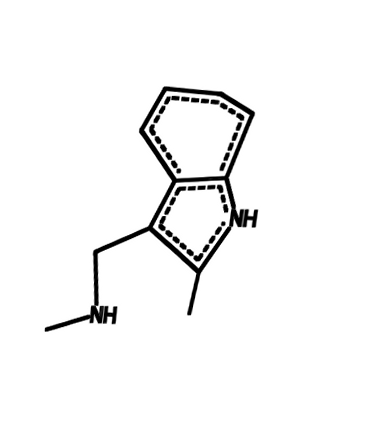 CNCc1c(C)[nH]c2ccccc12